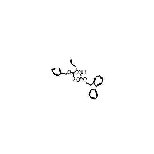 C=CC[C@H](NC(=O)OCC1c2ccccc2-c2ccccc21)C(=O)OCc1ccccc1